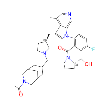 CC(=O)N1CC2CC(CN3CC[C@@H](Cc4cn(-c5ccc(F)cc5C(=O)N5CCC[C@H]5CO)c5cncc(C)c45)C3)CC(C2)C1